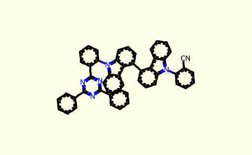 N#Cc1ccccc1-n1c2ccccc2c2c(-c3cccc4c3c3ccccc3n4-c3ccccc3-c3nc(-c4ccccc4)nc(-c4ccccc4)n3)cccc21